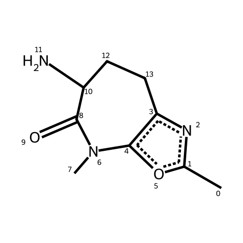 Cc1nc2c(o1)N(C)C(=O)C(N)CC2